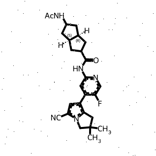 CC(=O)NC1C[C@@H]2CC(C(=O)Nc3cc(-c4cc(C#N)n5c4CC(C)(C)C5)c(F)cn3)C[C@@H]2C1